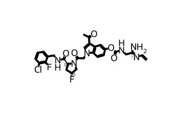 C=C/N=C(\N)CNC(=O)Oc1ccc2c(c1)c(C(C)=O)cn2CC(=O)N1C[C@H](F)C[C@H]1C(=O)NCc1cccc(Cl)c1F